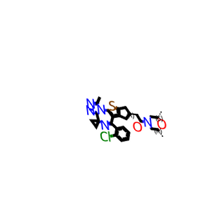 Cc1nnc2n1-c1sc3c(c1C(c1ccccc1Cl)=NC21CC1)C[C@H](CC(=O)N1C[C@@H](C)O[C@@H](C)C1)C3